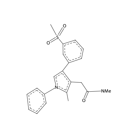 CNC(=O)Cc1c(-c2cccc(S(C)(=O)=O)c2)cn(-c2ccccc2)c1C